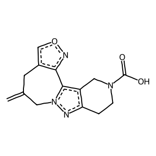 C=C1Cc2conc2-c2c3c(nn2C1)CCN(C(=O)O)C3